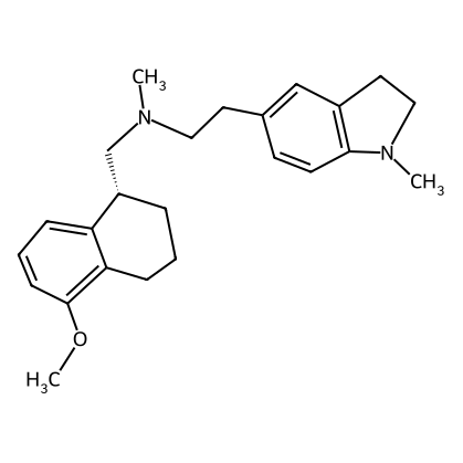 COc1cccc2c1CCC[C@H]2CN(C)CCc1ccc2c(c1)CCN2C